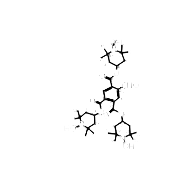 CC1(C)CC(OC(=O)c2cc(C(=O)OC3CC(C)(C)N(O)C(C)(C)C3)c(C(=O)OC3CC(C)(C)N(O)C(C)(C)C3)cc2C=O)CC(C)(C)N1O